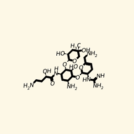 C[C@]1(O)CO[C@H](O[C@H]2[C@H](NC(=O)[C@@H](O)CCN)C[C@H](N)C(O[C@H]3OC(CN)=CC[C@H]3NC(=N)N)[C@@H]2O)[C@H](O)C1